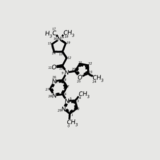 Cc1cc(C)n(-c2cc(N(C(=O)CC3CC[N+](C)(C)C3)c3ccc(C)o3)ncn2)n1